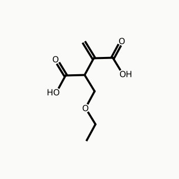 C=C(C(=O)O)C(COCC)C(=O)O